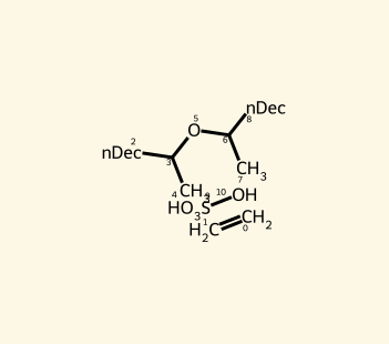 C=C.CCCCCCCCCCC(C)OC(C)CCCCCCCCCC.O=S(=O)(O)O